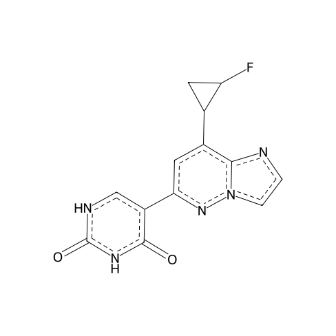 O=c1[nH]cc(-c2cc(C3CC3F)c3nccn3n2)c(=O)[nH]1